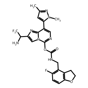 Cc1cc(-c2cnc(OC(=O)NCc3c(F)ccc4c3CCO4)n3cc(C(N)C(F)(F)F)nc23)n(C)n1